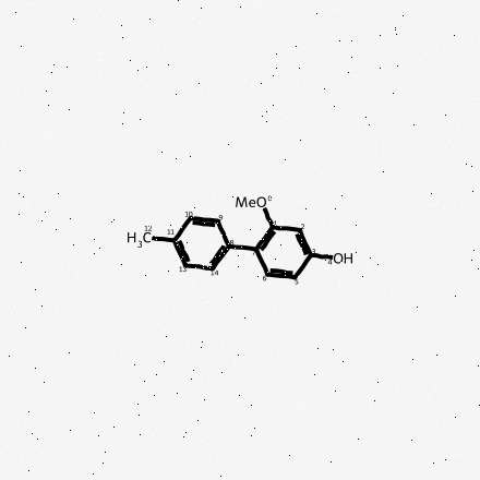 COc1cc(O)ccc1-c1ccc(C)cc1